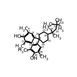 Cc1cc(C2(c3cc(C)c(O)c(C)c3)CCC(C(C)(C)CC(C)(C)C)CC2)cc(C)c1O